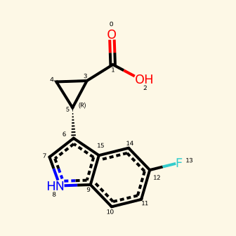 O=C(O)C1C[C@H]1c1c[nH]c2ccc(F)cc12